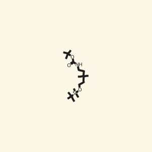 CC(C)(CCNC(=O)OC(C)(C)C)CCO[Si](C)(C)C(C)(C)C